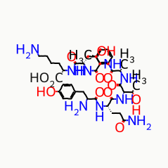 C[C@H](NC(=O)[C@@H](NC(=O)[C@H](CCC(N)=O)NC(=O)[C@@H](N)Cc1ccc(O)cc1)[C@@H](C)O)C(=O)N[C@H](C(=O)N[C@@H](Cc1ccccc1)C(=O)N[C@@H](CCCCN)C(=O)O)[C@@H](C)O